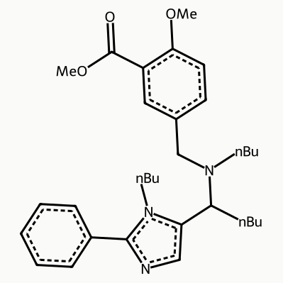 CCCCC(c1cnc(-c2ccccc2)n1CCCC)N(CCCC)Cc1ccc(OC)c(C(=O)OC)c1